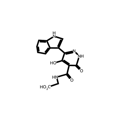 O=C(O)CNC(=O)c1c(O)c(-c2c[nH]c3ccccc23)n[nH]c1=O